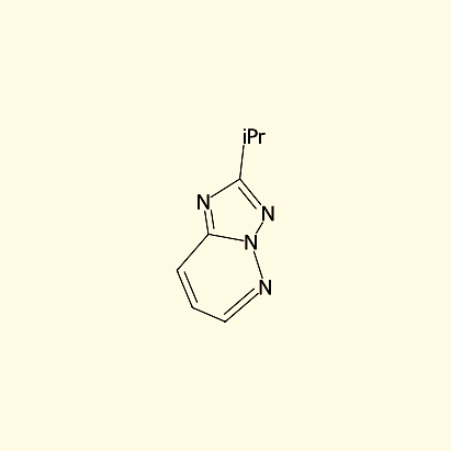 CC(C)c1nc2cccnn2n1